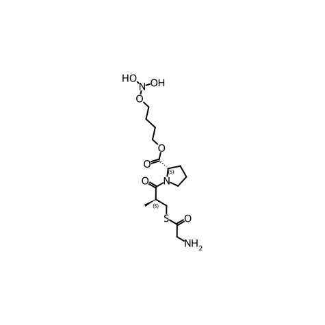 C[C@H](CSC(=O)CN)C(=O)N1CCC[C@H]1C(=O)OCCCCON(O)O